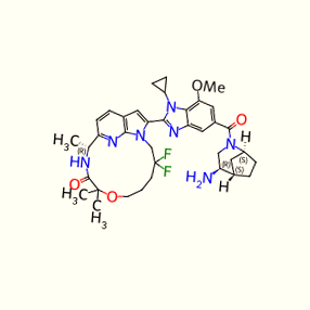 COc1cc(C(=O)N2C[C@H](N)[C@H]3CC[C@H]2C3)cc2nc(-c3cc4ccc5nc4n3CC(F)(F)CCCOC(C)(C)C(=O)N[C@@H]5C)n(C3CC3)c12